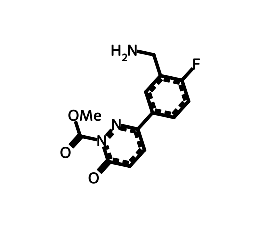 COC(=O)n1nc(-c2ccc(F)c(CN)c2)ccc1=O